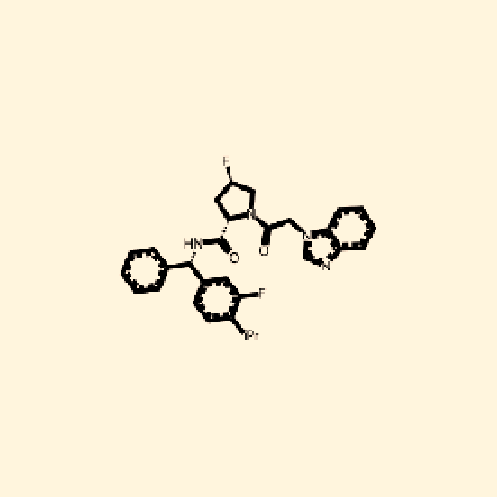 CC(C)c1ccc([C@@H](NC(=O)[C@@H]2C[C@@H](F)CN2C(=O)Cn2cnc3ccccc32)c2ccccc2)cc1F